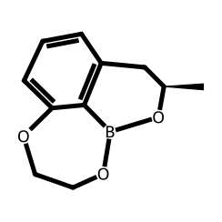 C[C@@H]1Cc2cccc3c2B(OCCO3)O1